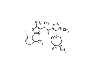 Cn1ncc(NC(O)c2nc(-c3c(F)cccc3C(F)(F)F)sc2N)c1[C@@H]1CC[C@@H](N)[C@@H](F)CO1